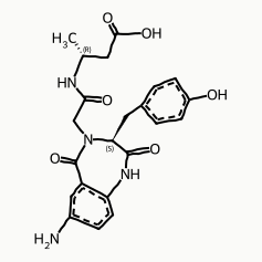 C[C@H](CC(=O)O)NC(=O)CN1C(=O)c2cc(N)ccc2NC(=O)[C@@H]1Cc1ccc(O)cc1